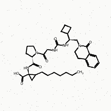 CCCCCCCC1C[C@]1(NC(=O)[C@@H]1CCCN1C(=O)CNC(=O)N[C@H](CN1CCc2ccccc2C1=O)C1CCC1)C(=O)O